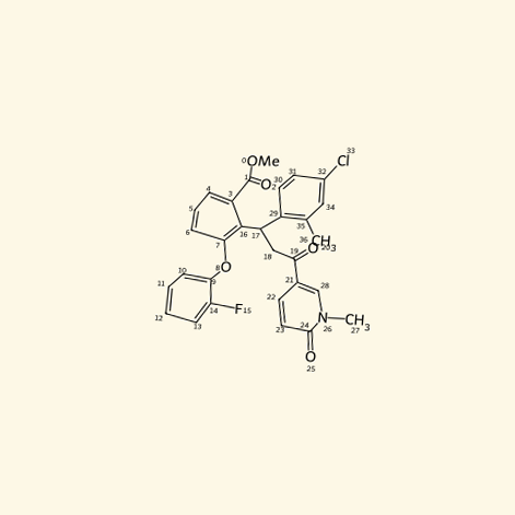 COC(=O)c1cccc(Oc2ccccc2F)c1C(CC(=O)c1ccc(=O)n(C)c1)c1ccc(Cl)cc1C